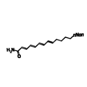 CCCCCCCCCCCCCC=CC=CC=CC=CC(N)=O